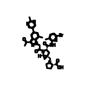 CC(=O)c1nn(CC(=O)N2[C@H](C(=O)Nc3nc(Br)ccc3C)C[C@@]3(CN4CCC[C@H]4C(=O)O)C[C@@H]23)c2c(C)cc(-c3cnc(C)nc3)cc12